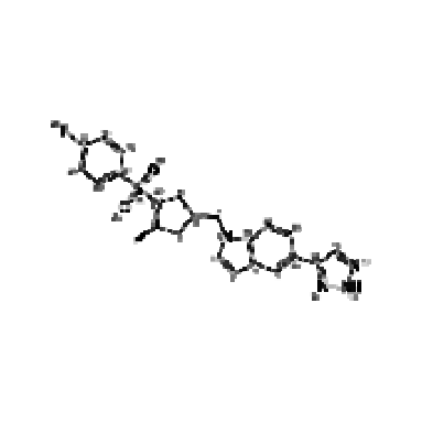 C[C@@H]1CC(Cn2ccc3cc(-c4cn[nH]n4)ccc32)CN1S(=O)(=O)c1ccc(F)cc1